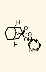 O=C(O)N1[C@@H]2CCC[C@H]1C[C@H](Oc1cnccn1)C2